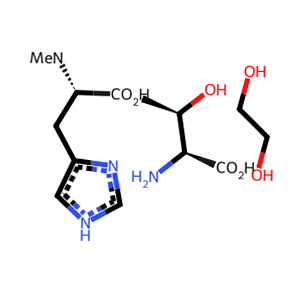 CN[C@@H](Cc1c[nH]cn1)C(=O)O.C[C@@H](O)[C@H](N)C(=O)O.OCCO